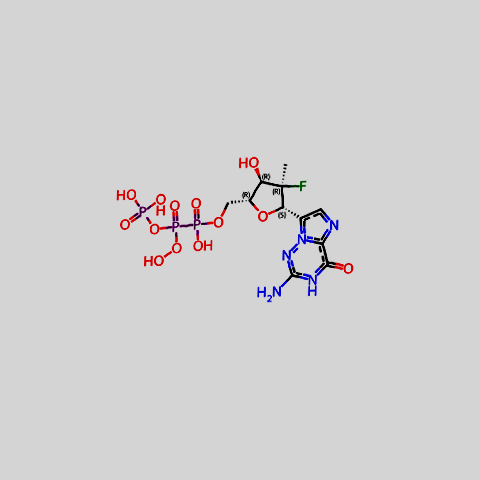 C[C@@]1(F)[C@H](O)[C@@H](COP(=O)(O)P(=O)(OO)OP(=O)(O)O)O[C@H]1c1cnc2c(=O)[nH]c(N)nn12